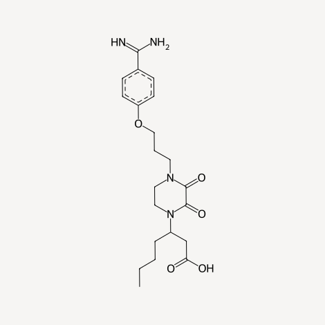 CCCCC(CC(=O)O)N1CCN(CCCOc2ccc(C(=N)N)cc2)C(=O)C1=O